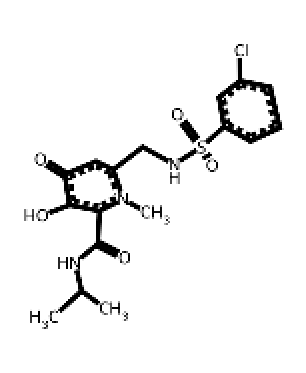 CC(C)NC(=O)c1c(O)c(=O)cc(CNS(=O)(=O)c2cccc(Cl)c2)n1C